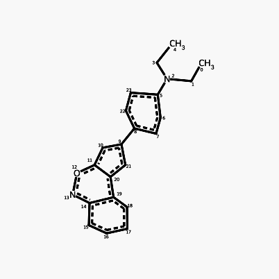 CCN(CC)c1ccc(-c2cc3onc4ccccc4c-3c2)cc1